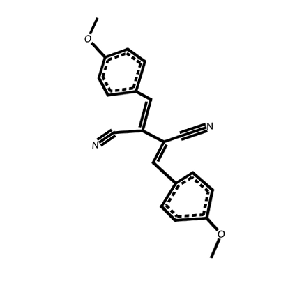 COc1ccc(/C=C(C#N)/C(C#N)=C/c2ccc(OC)cc2)cc1